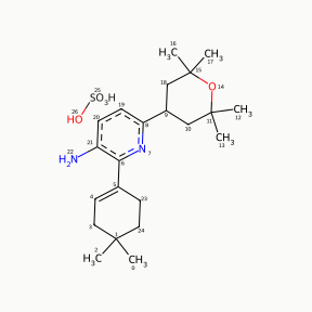 CC1(C)CC=C(c2nc(C3CC(C)(C)OC(C)(C)C3)ccc2N)CC1.O=S(=O)(O)O